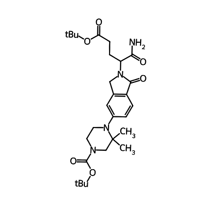 CC(C)(C)OC(=O)CCC(C(N)=O)N1Cc2cc(N3CCN(C(=O)OC(C)(C)C)CC3(C)C)ccc2C1=O